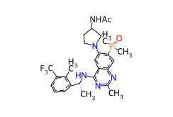 CC(=O)NC1CCN(c2cc3c(N[C@H](C)c4cccc(C(F)(F)F)c4C)nc(C)nc3cc2P(C)(C)=O)C1